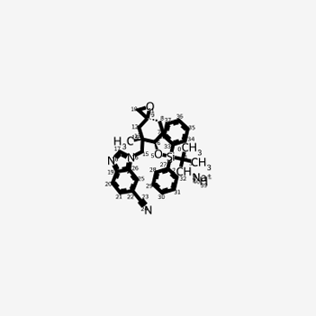 CC(C)(C)[Si](O[C@@H]1CC[C@@]2(CO2)C[C@@]1(C)Cn1cnc2ccc(C#N)cc21)(c1ccccc1)c1ccccc1.[H-].[Na+]